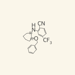 N#Cc1ccc(C(F)(F)F)cc1N[C@H]1CCCC[C@@H]1OCc1ccccc1